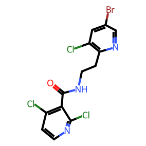 O=C(NCCc1ncc(Br)cc1Cl)c1c(Cl)ccnc1Cl